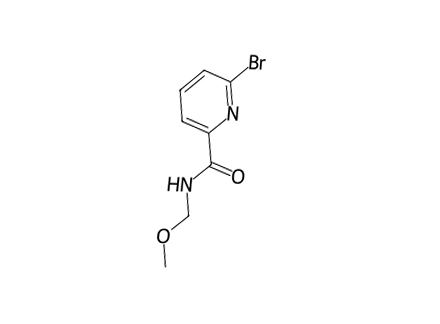 COCNC(=O)c1cccc(Br)n1